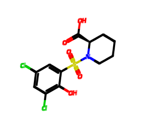 O=C(O)[C@H]1CCCCN1S(=O)(=O)c1cc(Cl)cc(Cl)c1O